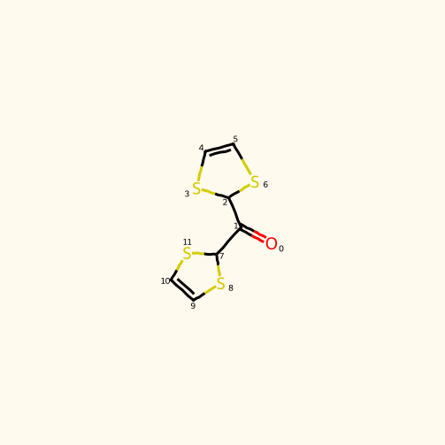 O=C(C1SC=CS1)C1SC=CS1